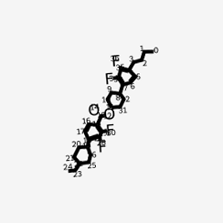 CCCCc1ccc(C2CCC(OC(=O)c3ccc(C4CCC(CC)CC4)c(F)c3F)CC2)c(F)c1F